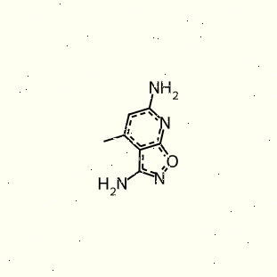 Cc1cc(N)nc2onc(N)c12